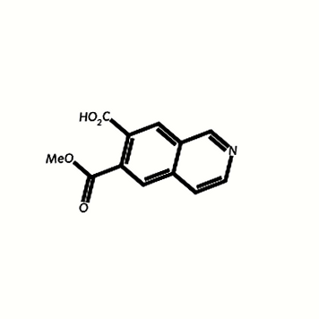 COC(=O)c1cc2ccncc2cc1C(=O)O